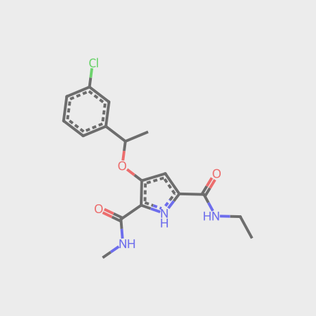 CCNC(=O)c1cc(OC(C)c2cccc(Cl)c2)c(C(=O)NC)[nH]1